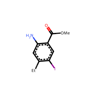 CCc1cc(N)c(C(=O)OC)cc1I